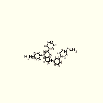 CCN1CCN(c2cc(-n3ccc4c(-c5cnc(N)nc5)nc(N5CCOCC5)nc43)ccn2)CC1